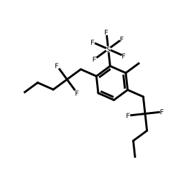 CCCC(F)(F)Cc1ccc(CC(F)(F)CCC)c(S(F)(F)(F)(F)F)c1C